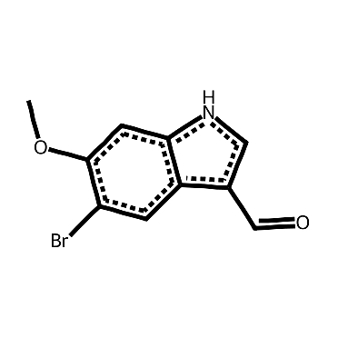 COc1cc2[nH]cc(C=O)c2cc1Br